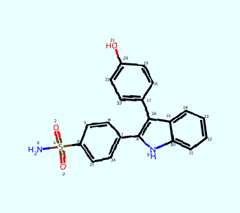 NS(=O)(=O)c1ccc(-c2[nH]c3ccccc3c2-c2ccc(O)cc2)cc1